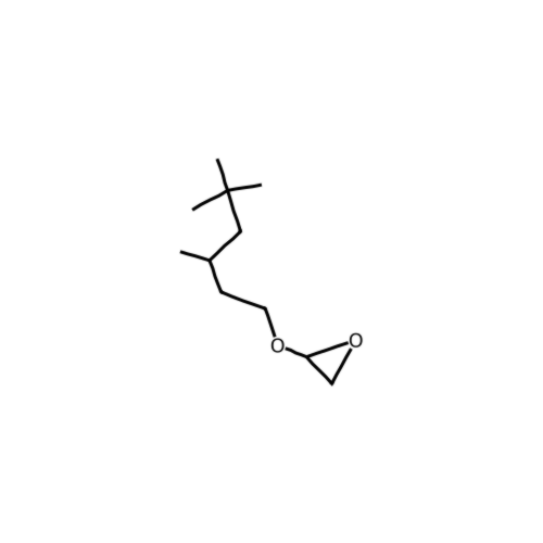 CC(CCOC1CO1)CC(C)(C)C